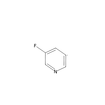 Fc1c[c]cnc1